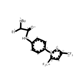 CCCCC(CC)C(=O)Nc1ccc(-n2nc(C(F)(F)F)cc2C(F)(F)F)cc1